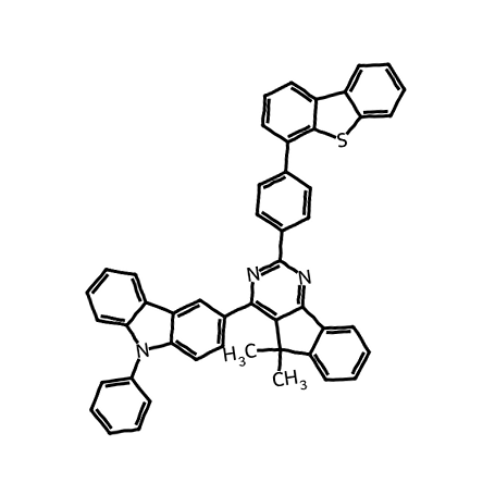 CC1(C)c2ccccc2-c2nc(-c3ccc(-c4cccc5c4sc4ccccc45)cc3)nc(-c3ccc4c(c3)c3ccccc3n4-c3ccccc3)c21